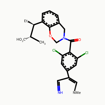 CC[C@@H](c1cccc2c1OCN(C(=O)c1c(Cl)cc(/C(C=N)=C/NC)cc1Cl)C2)[C@H](C)C(=O)O